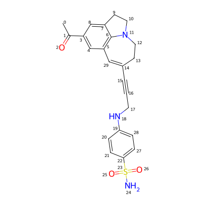 CC(=O)c1cc2c3c(c1)CCN3CCC(C#CCNc1ccc(S(N)(=O)=O)cc1)=C2